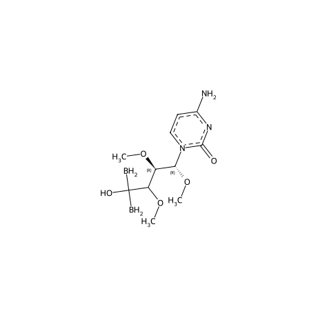 BC(B)(O)C(OC)[C@@H](OC)[C@@H](OC)n1ccc(N)nc1=O